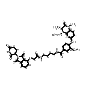 CCCCCN1c2nc(Nc3ccc(C(=O)NCCCCNC(=O)COc4cccc5c4C(=O)N(C4CCC(=O)NC4=O)C5=O)cc3OC)ccc2N(C)C(=O)[C@H]1C